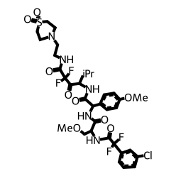 COCC(NC(=O)C(F)(F)c1cccc(Cl)c1)C(=O)NC(C(=O)NC(C(=O)C(F)(F)C(=O)NCCN1CCS(=O)(=O)CC1)C(C)C)c1ccc(OC)cc1